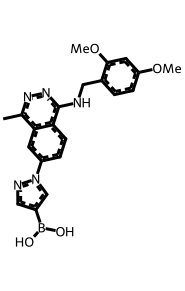 COc1ccc(CNc2nnc(C)c3cc(-n4cc(B(O)O)cn4)ccc23)c(OC)c1